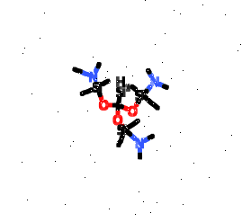 CN(C)[Si](C)(C)OC([SiH3])(O[Si](C)(C)N(C)C)O[Si](C)(C)N(C)C